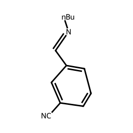 CCCCN=Cc1cccc(C#N)c1